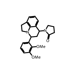 COc1cccc(C2CC(N3CCCC3=O)c3cccc4c3N2CC4)c1OC